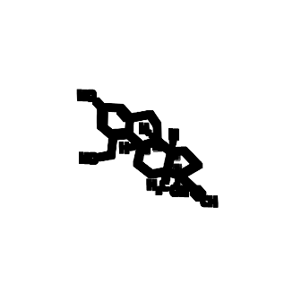 C#C[C@]1(O)CC[C@H]2[C@@H]3CCc4cc(O)cc(CO)c4[C@H]3CCC21C